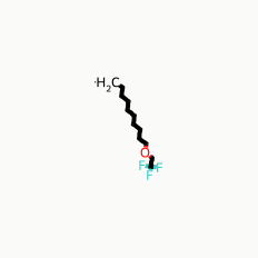 [CH2]CCCCCCCCCOCC(F)(F)F